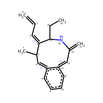 C=C/C=C1/C(C)/C=c2/cccc/c2=C/C(=C)NC1CC